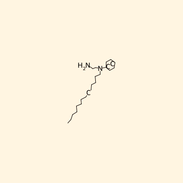 CCCCCCCCCCCCCCN(CCN)C12CCC(CC1)CC2